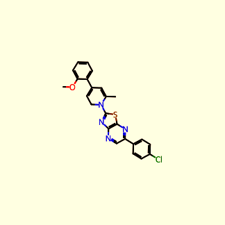 COc1ccccc1C1=CCN(c2nc3ncc(-c4ccc(Cl)cc4)nc3s2)C(C)=C1